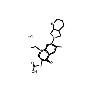 CCn1cc(OC(=O)O)c(=O)c2cc(F)c(N3CC4CCCNC4C3)cc21.Cl